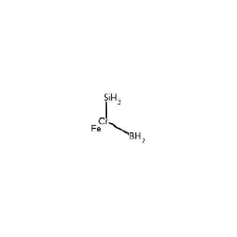 [BH2][Cr][SiH3].[Fe]